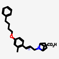 Cc1cc(OCCCCc2ccccc2)ccc1/C=C/CN1C2CCC1C2C(=O)O